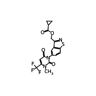 Cn1c(C(F)(F)F)cc(=O)n(-c2ccc3snc(COC(=O)C4CC4)c3c2)c1=O